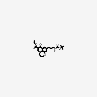 CCOC(=O)c1cn2c3c(cc(CCCNC(=O)OC(C)(C)C)cc3c1=O)OCCC2